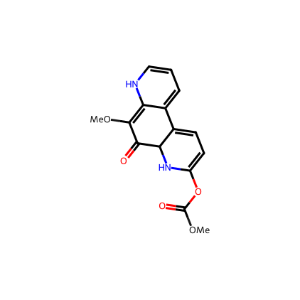 COC(=O)OC1=CC=C2C3=CC=CNC3=C(OC)C(=O)C2N1